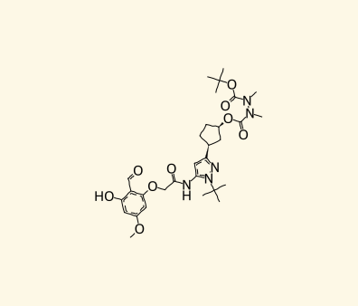 COc1cc(O)c(C=O)c(OCC(=O)Nc2cc([C@H]3CC[C@@H](OC(=O)N(C)N(C)C(=O)OC(C)(C)C)C3)nn2C(C)(C)C)c1